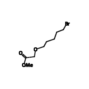 COC(=O)COCCCCCBr